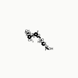 COc1cnc2c(-c3nc4cc(F)c5c(c4s3)CC(COC(=O)Nc3ccc(OCC(F)(F)CO)nc3)O5)cc(C)cc2n1